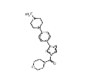 CN1CCN(c2ccc(-c3ncn(C(=O)N4CCOCC4)n3)cc2)CC1